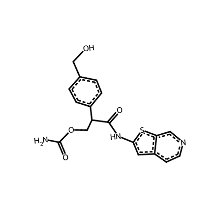 NC(=O)OCC(C(=O)Nc1cc2ccncc2s1)c1ccc(CO)cc1